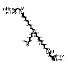 CCCCCCC(CCCCCC)CC(=O)OCCCCCCCCCN(CCCCCCCCCOC(=O)CC(CCCCCC)CCCCCC)CCCCN(C)C